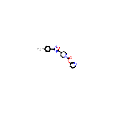 Cc1ccc(-c2noc(C3CCN(C(=O)Oc4cccnc4)CC3)n2)cc1